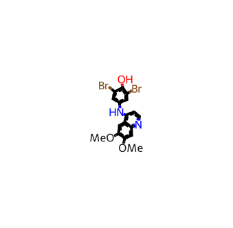 COc1cc2nccc(Nc3cc(Br)c(O)c(Br)c3)c2cc1OC